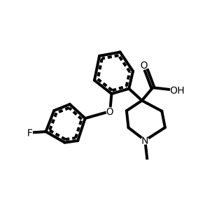 CN1CCC(C(=O)O)(c2ccccc2Oc2ccc(F)cc2)CC1